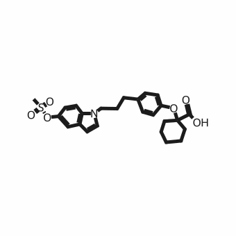 CS(=O)(=O)Oc1ccc2c(ccn2CCCc2ccc(OC3(C(=O)O)CCCCC3)cc2)c1